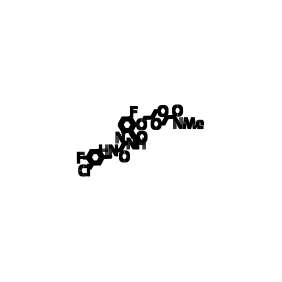 CNC(=O)C1COC(COc2c(F)ccc3nc(C(=O)NCc4ccc(F)c(Cl)c4)[nH]c(=O)c23)CO1